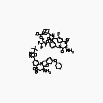 CC(C)(C)c1nnc(-c2ccc3c(c2)N(Cc2ccc(OC4CCCCC4)cc2)C(=O)[C@@H](N)CS3(=O)=O)o1.COC(=O)N1CC2CC(c3nc(-c4cc5c(cc4F)[S+]([O-])C[C@H](N)C(=O)N5Cc4ccc(OC(F)(F)C(F)F)cc4)no3)(C2)C1